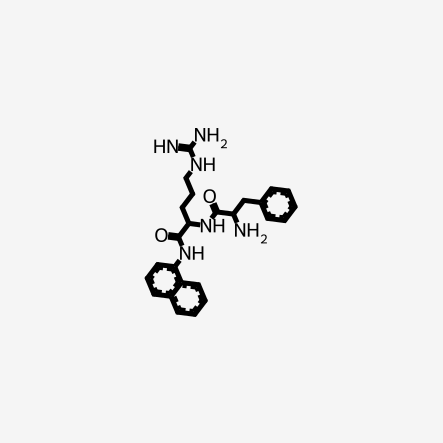 N=C(N)NCCCC(NC(=O)C(N)Cc1ccccc1)C(=O)Nc1cccc2ccccc12